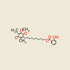 CCC1=C(OC)C(=O)C(CCCCCCCCCCOC(=O)c2ccccc2O)=C(C)C1=O